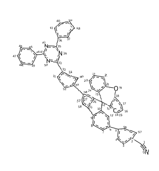 N#Cc1ccc(-c2ccc3c(c2)C2(c4ccccc4Oc4ccccc42)c2cc(-c4ccc(-c5nc(-c6ccccc6)nc(-c6ccccc6)n5)cc4)ccc2-3)cc1